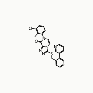 Cc1c(Cl)cccc1-n1ccn2c(SCc3ccccc3-c3cccnc3)nnc2c1=O